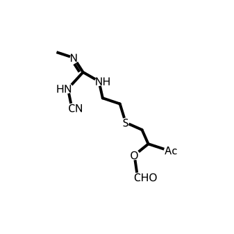 C/N=C(\NC#N)NCCSCC(OC=O)C(C)=O